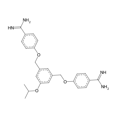 CC(C)Oc1cc(COc2ccc(C(=N)N)cc2)cc(COc2ccc(C(=N)N)cc2)c1